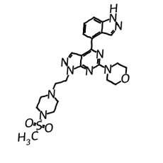 CS(=O)(=O)N1CCN(CCn2ncc3c(-c4cccc5[nH]ncc45)nc(N4CCOCC4)nc32)CC1